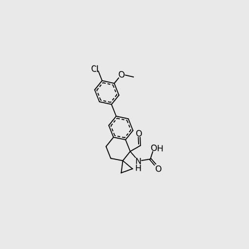 COc1cc(-c2ccc3c(c2)CCC2(CC2)C3(C=O)NC(=O)O)ccc1Cl